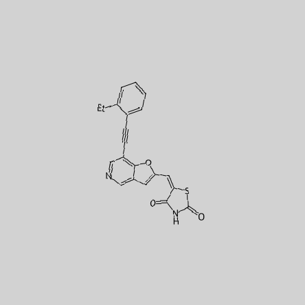 CCc1ccccc1C#Cc1cncc2cc(C=C3SC(=O)NC3=O)oc12